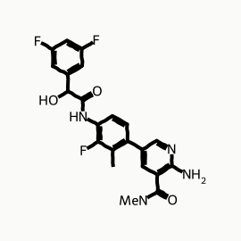 CNC(=O)c1cc(-c2ccc(NC(=O)C(O)c3cc(F)cc(F)c3)c(F)c2C)cnc1N